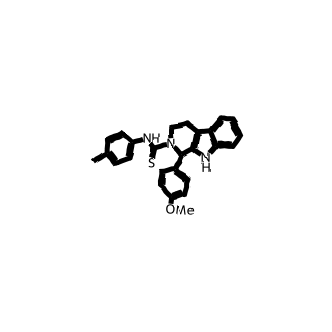 COc1ccc(C2c3[nH]c4ccccc4c3CCN2C(=S)Nc2ccc(C)cc2)cc1